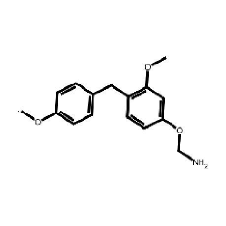 [CH2]Oc1ccc(Cc2ccc(OCN)cc2OC)cc1